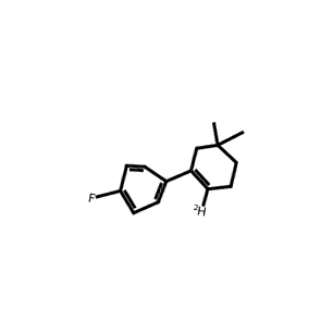 [2H]C1=C(c2ccc(F)cc2)CC(C)(C)CC1